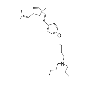 C=CC(C)(/C=C/c1ccc(OCCCCN(CCCC)CCCC)cc1)CCC=C(C)C